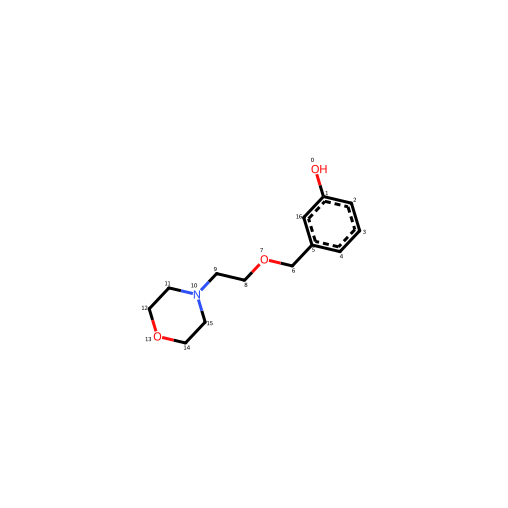 Oc1cccc(COCCN2CCOCC2)c1